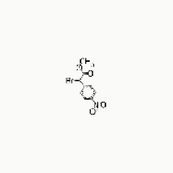 COC(=O)C(Br)c1ccc([N+](=O)[O-])cc1